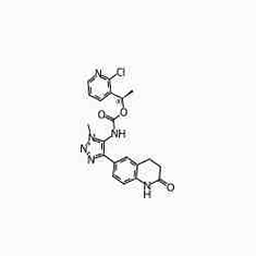 C[C@@H](OC(=O)Nc1c(-c2ccc3c(c2)CCC(=O)N3)nnn1C)c1cccnc1Cl